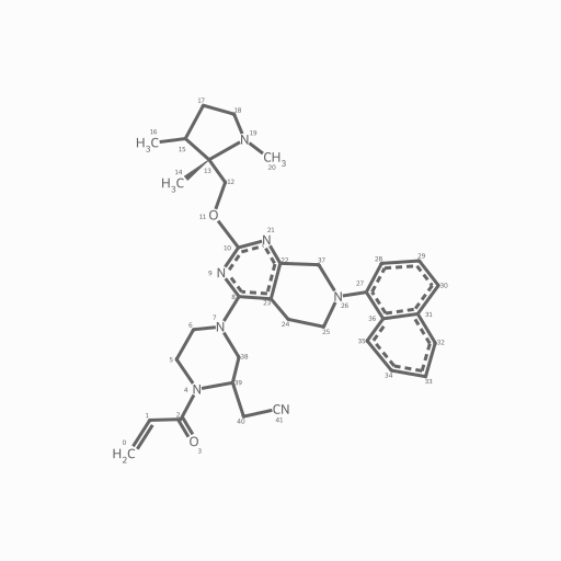 C=CC(=O)N1CCN(c2nc(OC[C@]3(C)C(C)CCN3C)nc3c2CCN(c2cccc4ccccc24)C3)CC1CC#N